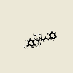 O=C(NCCCc1ccccc1)Nc1ccc(Cl)cc1Cl